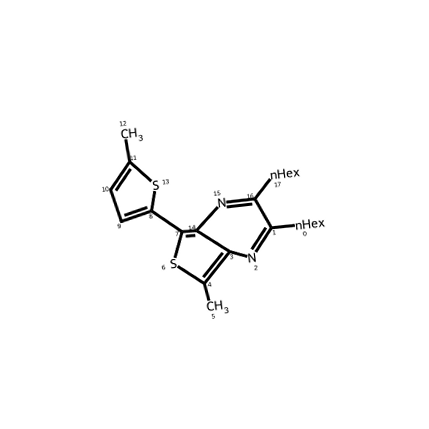 CCCCCCc1nc2c(C)sc(-c3ccc(C)s3)c2nc1CCCCCC